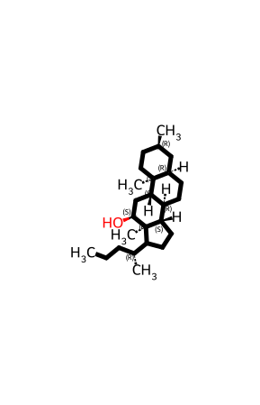 CCC[C@@H](C)C1CC[C@H]2[C@@H]3CC[C@@H]4C[C@H](C)CC[C@]4(C)[C@H]3C[C@H](O)[C@]12C